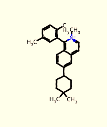 Cc1ccc(C)c(-c2c3ccc(C4CCC(C)(C)CC4)cc3cc[n+]2C)c1